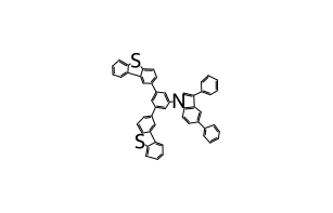 c1ccc(-c2ccc3c(c2)c(-c2ccccc2)cn3-c2cc(-c3ccc4sc5ccccc5c4c3)cc(-c3ccc4sc5ccccc5c4c3)c2)cc1